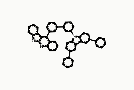 c1ccc(-c2ccc3c(c2)c2cc(-c4ccccc4)ccc2n3-c2cccc(-c3cccc(-c4c5ccccc5nc5oc6ccccc6c45)c3)c2)cc1